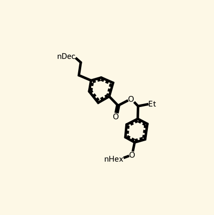 CCCCCCCCCCCCc1ccc(C(=O)OC(CC)c2ccc(OCCCCCC)cc2)cc1